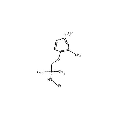 CC(C)NC(C)(C)COc1ccc(C(=O)O)cc1N